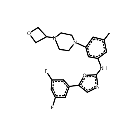 Cc1cc(Nc2ncc(-c3cc(F)cc(F)c3)o2)cc(N2CCN(C3COC3)CC2)c1